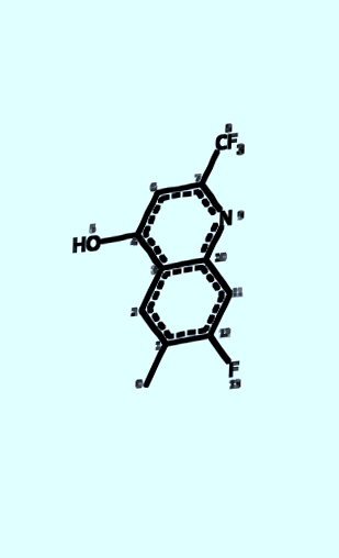 Cc1cc2c(O)cc(C(F)(F)F)nc2cc1F